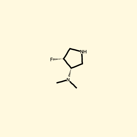 CN(C)[C@H]1CNC[C@H]1F